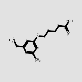 Cc1cc(CN)cc(SCCCCC(=O)O)c1